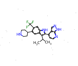 CC(C)c1c(-c2ccnc3[nH]ncc23)[nH]c2cc(C(F)(F)F)c(C3CCNCC3)cc12